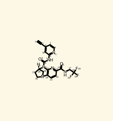 C#Cc1ccnc(NC(=O)N2c3nc(C(=O)NCC(F)(F)F)ccc3N3CC[C@H]2C3)c1